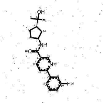 CC(C)(O)[C@@H]1CC[C@H](NC(=O)c2ccc(-c3cccc(F)c3)nc2)C1